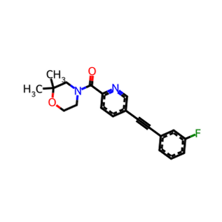 CC1(C)CN(C(=O)c2ccc(C#Cc3cccc(F)c3)cn2)CCO1